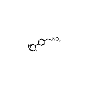 O=[N+]([O-])CCc1ccc(-c2cnccn2)cc1